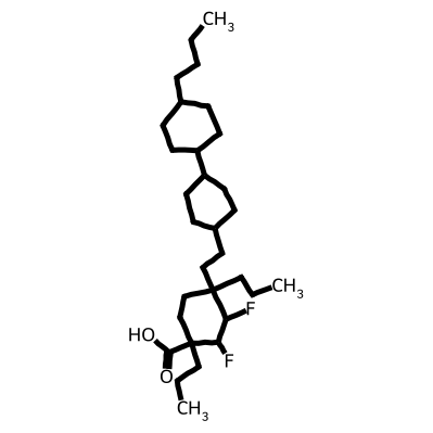 CCCCC1CCC(C2CCC(CCC3(CCC)CCC(CCC)(C(=O)O)C(F)C3F)CC2)CC1